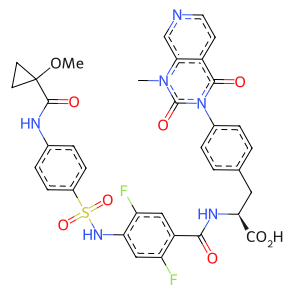 COC1(C(=O)Nc2ccc(S(=O)(=O)Nc3cc(F)c(C(=O)N[C@@H](Cc4ccc(-n5c(=O)c6ccncc6n(C)c5=O)cc4)C(=O)O)cc3F)cc2)CC1